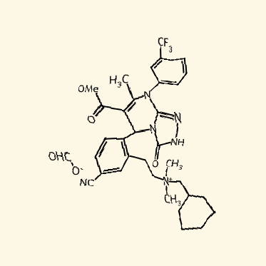 COC(=O)C1=C(C)N(c2cccc(C(F)(F)F)c2)c2n[nH]c(=O)n2C1c1ccc(C#N)cc1CC[N+](C)(C)CC1CCCCC1.O=C[O-]